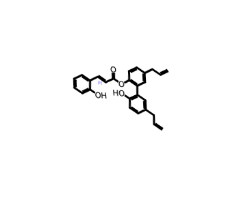 C=CCc1ccc(O)c(-c2cc(CC=C)ccc2OC(=O)/C=C/c2ccccc2O)c1